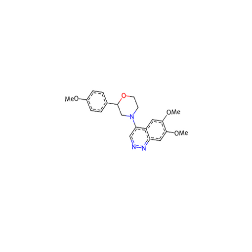 COc1ccc(C2CN(c3cnnc4cc(OC)c(OC)cc34)CCO2)cc1